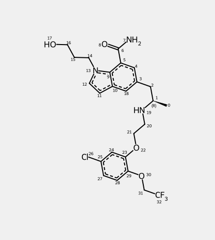 C[C@H](Cc1cc(C(N)=O)c2c(ccn2CCCO)c1)NCCOc1cc(Cl)ccc1OCC(F)(F)F